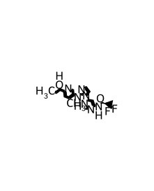 CC[C@H](O)c1cc(C)c(Nc2nccn2-c2cc(NC(=O)[C@H]3CC3(F)F)ncn2)cn1